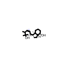 CC(/C=C\[C@@H](C)[C@H]1CC[C@H]2[C@@H](O)CCC[C@]12C)C(C)(C)O